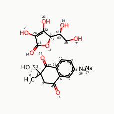 CC1(S(=O)(=O)O)CC(=O)c2ccccc2C1=O.O=C1O[C@H]([C@@H](O)CO)C(O)=C1O.[Na].[Na]